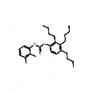 CCCCc1ccc(OC(=O)Oc2cccc(C)c2C)c(CCCC)c1CCCC